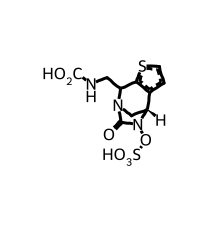 O=C(O)NCC1c2sccc2[C@H]2CN1C(=O)N2OS(=O)(=O)O